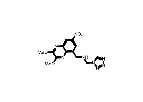 COc1nc2cc([N+](=O)[O-])cc(CNCn3cnnn3)c2nc1OC